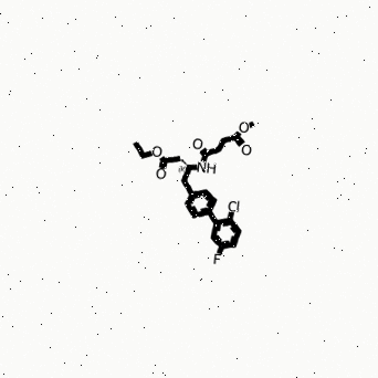 CCOC(=O)C[C@@H](Cc1ccc(-c2cc(F)ccc2Cl)cc1)NC(=O)CCC(=O)OC